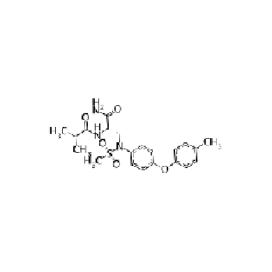 Cc1ccc(Oc2ccc(N(C[C@H](NC(=O)C(C)C)C(N)=O)S(C)(=O)=O)cc2)cc1